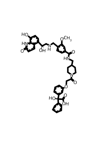 COc1cc(C(=O)NCC2CCN(C(=O)COc3cccc([C@](O)(C(=O)O)c4ccccc4)c3)CC2)ccc1CNC[C@H](O)c1ccc(O)c2[nH]c(=O)ccc12